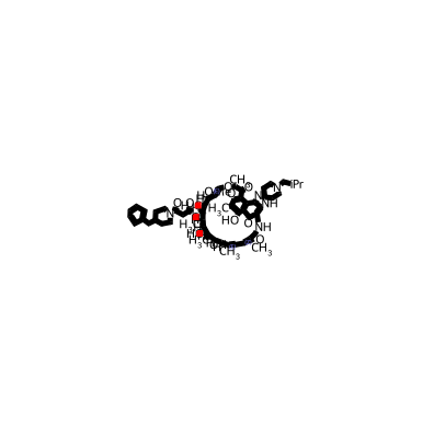 CO[C@H]1/C=C/O[C@@]2(C)Oc3c(C)c(O)c4c(c3C2=O)C2=NC3(CCN(CC(C)C)CC3)NC2=C(NC(=O)/C(C)=C\C=C\[C@H](C)[C@H](O)[C@@H](C)[C@@H](O)[C@@H](C)[C@H](OC(=O)CC(=O)N2CCC(Cc3ccccc3)CC2)[C@@H]1C)C4=O